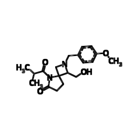 COc1ccc(CN2CC3(CCC(=O)N3C(=O)C(C)C)C2CO)cc1